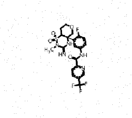 CN1C(=N)N[C@@]2(c3cc(NC(=O)c4ccc(C(F)(F)F)cn4)ccc3F)COCCC2S1(=O)=O